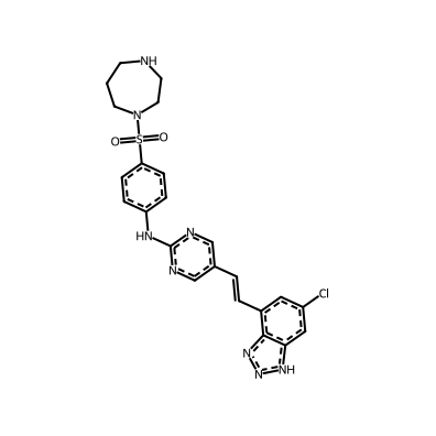 O=S(=O)(c1ccc(Nc2ncc(C=Cc3cc(Cl)cc4[nH]nnc34)cn2)cc1)N1CCCNCC1